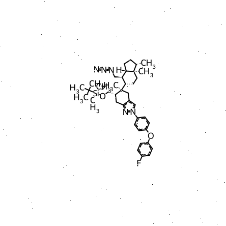 C[C@H]1CC[C@H]2[C@H](CN=[N+]=[N-])[C@@H]([C@@]3(C)Cc4cn(-c5ccc(Oc6ccc(F)cc6)cc5)nc4C[C@@H]3CO[Si](C)(C)C(C)(C)C)CC[C@]12C